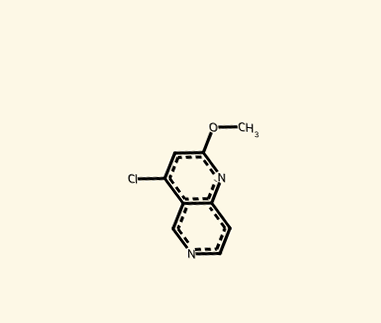 COc1cc(Cl)c2cnccc2n1